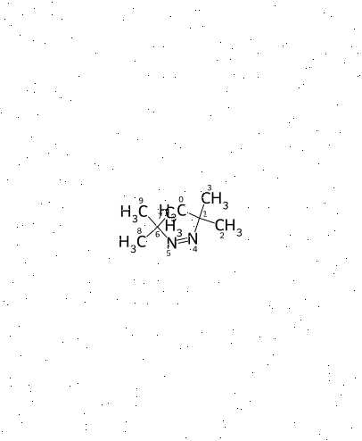 CC(C)(C)/N=N\C(C)(C)C